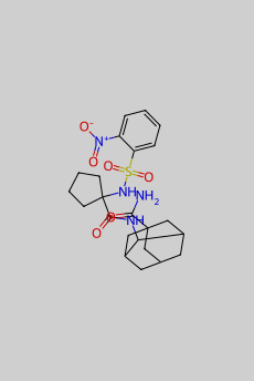 NC(=O)C12CC3CC(C1)C(NC(=O)C1(NS(=O)(=O)c4ccccc4[N+](=O)[O-])CCCC1)C(C3)C2